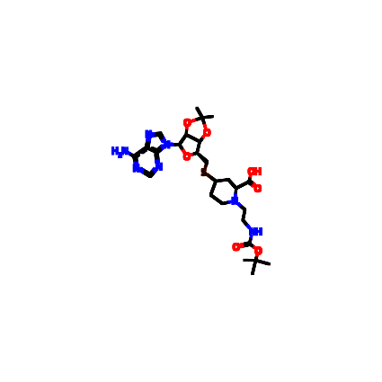 CC(C)(C)OC(=O)NCCN1CCC(SC[C@H]2O[C@@H](n3cnc4c(N)ncnc43)C3OC(C)(C)OC32)CC1C(=O)O